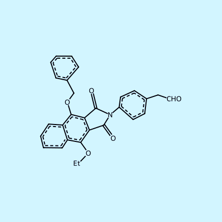 CCOc1c2c(c(OCc3ccccc3)c3ccccc13)C(=O)N(c1ccc(CC=O)cc1)C2=O